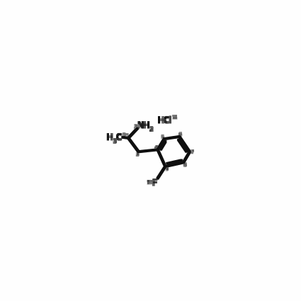 CC(N)Cc1ccccc1F.Cl